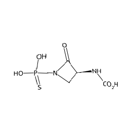 O=C(O)N[C@H]1CN(P(O)(O)=S)C1=O